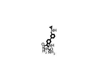 NC(=O)Nc1[nH]c2cc(-c3cccc(CNC4CC4)c3)ccc2c1C(N)=O